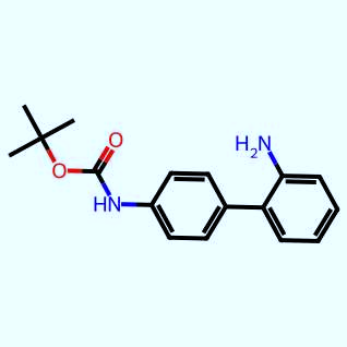 CC(C)(C)OC(=O)Nc1ccc(-c2ccccc2N)cc1